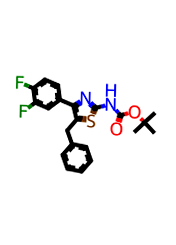 CC(C)(C)OC(=O)Nc1nc(-c2ccc(F)c(F)c2)c(Cc2ccccc2)s1